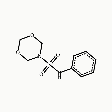 O=S(=O)(Nc1ccccc1)N1COCOC1